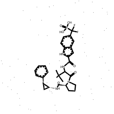 CC(C)(C)C(NC(=O)c1cc2cc(C(F)(F)P(=O)(O)O)ccc2[nH]1)C(=O)N1CCC[C@H]1C(=O)N[C@@H]1C[C@H]1c1ccccc1